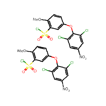 COc1ccc(Oc2c(Cl)cc([N+](=O)[O-])cc2Cl)cc1S(=O)(=O)Cl.COc1ccc(Oc2c(Cl)cc([N+](=O)[O-])cc2Cl)cc1S(=O)(=O)Cl